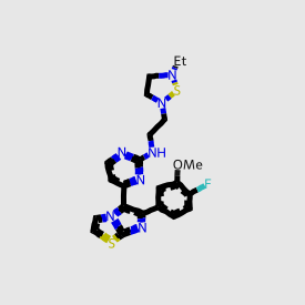 CCN1CCN(CCNc2nccc(-c3c(-c4ccc(F)c(OC)c4)nc4sccn34)n2)S1